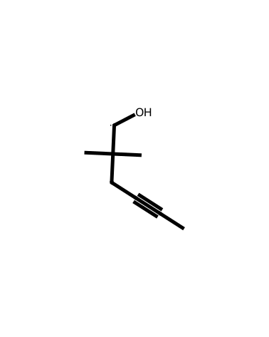 CC#CCC(C)(C)[CH]O